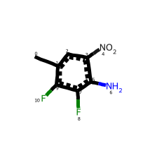 Cc1cc([N+](=O)[O-])c(N)c(F)c1F